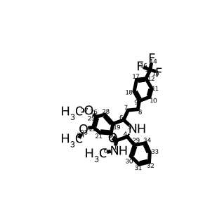 CNC(=O)[C@H](NC(CCc1ccc(C(F)(F)F)cc1)c1ccc(OC)c(OC)c1)c1ccccc1